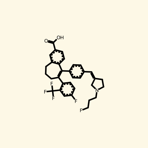 O=C(O)c1ccc2c(c1)CCCC(c1ccc(F)cc1C(F)(F)F)=C2c1ccc(C=C2CCN(CCCF)C2)cc1